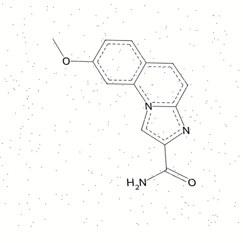 COc1ccc2ccc3nc(C(N)=O)cn3c2c1